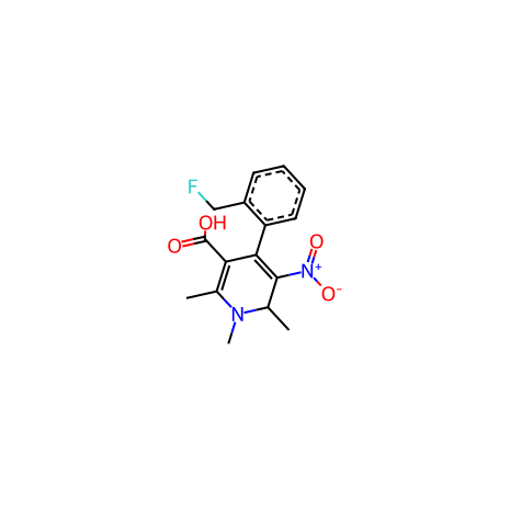 CC1=C(C(=O)O)C(c2ccccc2CF)=C([N+](=O)[O-])C(C)N1C